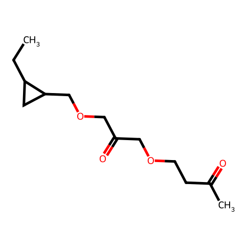 CCC1CC1COCC(=O)COCCC(C)=O